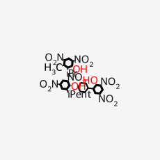 CCCC(C)c1cc([N+](=O)[O-])cc([N+](=O)[O-])c1O.Cc1c([N+](=O)[O-])cc([N+](=O)[O-])c(O)c1C(C)C.O=[N+]([O-])c1cc(C2CCCCC2)c(O)c([N+](=O)[O-])c1